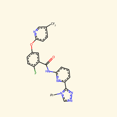 CC(C)n1cnnc1-c1cccc(NC(=O)c2cc(Oc3ccc(C(F)(F)F)cn3)ccc2F)n1